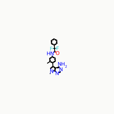 Cc1cc(NC(=O)C(F)(F)c2ccccc2)ccc1-c1cn(C)c2ncnc(N)c12